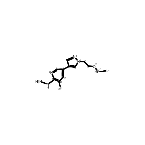 NNc1ncc(-c2cnn(CCOPI)c2)cc1F